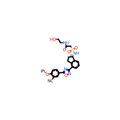 CC(C)Oc1ccc(-c2nc(-c3cccc4c3CC[C@@H]4NS(=O)(=O)CC(=O)NCCO)no2)cc1C#N